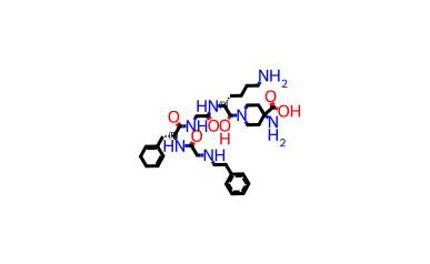 NCCCC[C@@H](NC(=O)CNC(=O)[C@@H](CC1=CCCC=C1)NC(=O)CNCCc1ccccc1)C(O)N1CCC(N)(C(=O)O)CC1